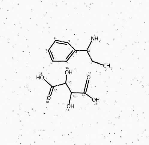 CCC(N)c1ccccc1.O=C(O)C(O)C(O)C(=O)O